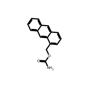 NC(=O)OCc1cccc2cc3ccccc3cc12